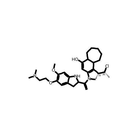 C=C(C1Cc2cc(OCCN(C)C)c(OC)cc2N1)N1C[C@@H]([C@@H](C)Cl)C2=C1C=C(O)C1CCCCCC21